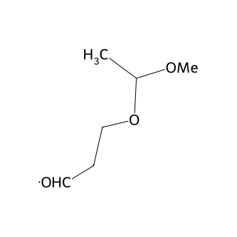 COC(C)OCC[C]=O